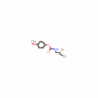 COc1ccc(OC(=O)NC[C@H](Br)CBr)cc1